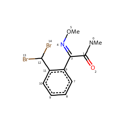 CNC(=O)/C(=N\OC)c1ccccc1C(Br)Br